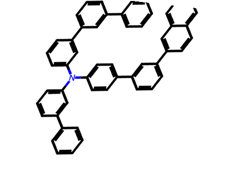 c1ccc(-c2cccc(-c3cccc(N(c4ccc(-c5cccc(-c6ccc7ccccc7c6)c5)cc4)c4cccc(-c5ccccc5)c4)c3)c2)cc1